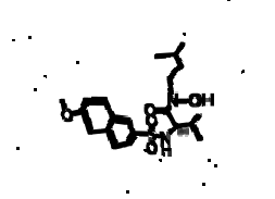 COc1ccc2cc(S(=O)(=O)N[C@@H](C(=O)N(O)CCC(C)C)C(C)C)ccc2c1